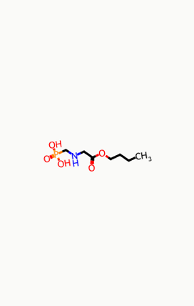 CCCCOC(=O)CNCP(=O)(O)O